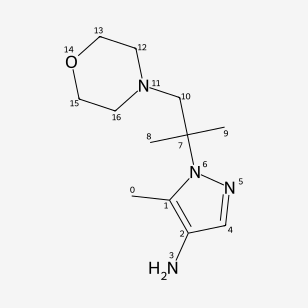 Cc1c(N)cnn1C(C)(C)CN1CCOCC1